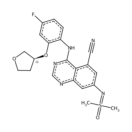 CS(C)(=O)=Nc1cc(C#N)c2c(Nc3ccc(F)cc3O[C@H]3CCOC3)ncnc2c1